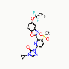 CCS(=O)(=O)c1ccc(-n2ncn(C3CC3)c2=O)nc1-c1nc2cc(OC(F)(F)C(F)(F)F)ccc2o1